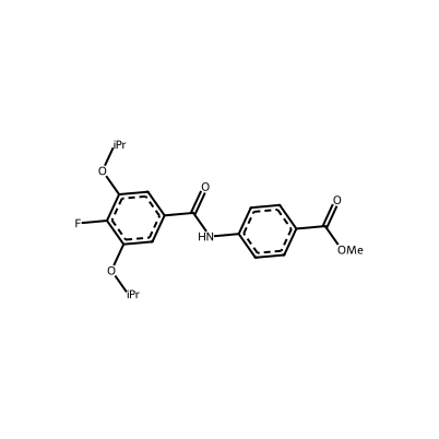 COC(=O)c1ccc(NC(=O)c2cc(OC(C)C)c(F)c(OC(C)C)c2)cc1